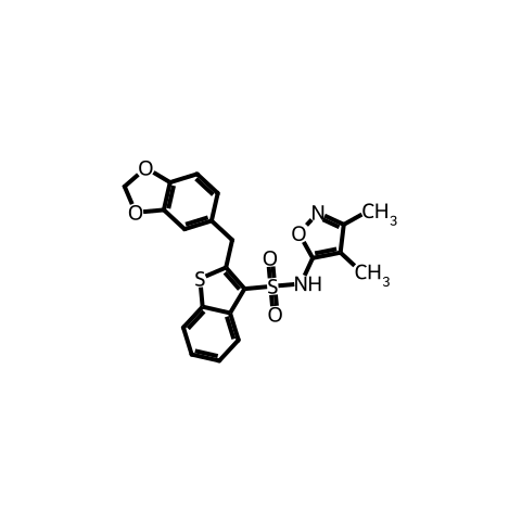 Cc1noc(NS(=O)(=O)c2c(Cc3ccc4c(c3)OCO4)sc3ccccc23)c1C